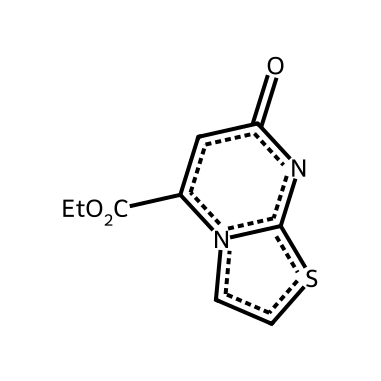 CCOC(=O)c1cc(=O)nc2sccn12